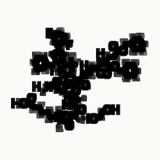 C[C@H](NC(=O)[C@H](C)NC(=O)[C@H](C)N(C)CCCCCC(=O)O)C(=O)N[C@@H](CC(N)=O)C(=O)N[C@@H](CCN[C@@H](c1cc(-c2cc(F)ccc2F)cn1Cc1ccccc1)C(C)(C)C)C(=O)NCCC(=O)N[C@@H](CCC(=O)OCc1ccccc1)C(=O)OCc1ccccc1.OCCO